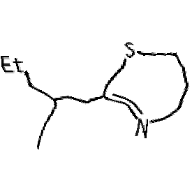 CCC(C)C1=NCCS1